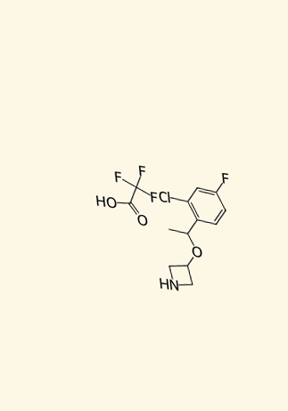 CC(OC1CNC1)c1ccc(F)cc1Cl.O=C(O)C(F)(F)F